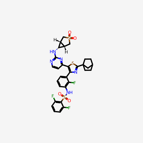 O=S1(=O)C[C@@H]2[C@H](C1)[C@@H]2Nc1nccc(-c2sc(C34CCC(CC3)C4)nc2-c2cccc(NS(=O)(=O)c3c(F)cccc3F)c2F)n1